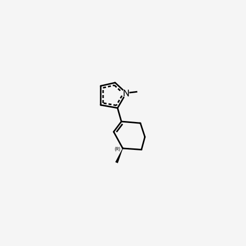 C[C@H]1C=C(c2cccn2C)CCC1